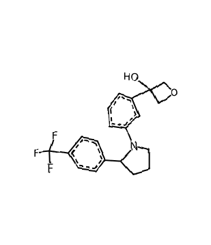 OC1(c2cccc(N3CCCC3c3ccc(C(F)(F)F)cc3)c2)COC1